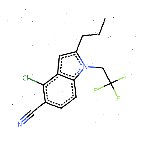 CCCc1cc2c(Cl)c(C#N)ccc2n1CC(F)(F)F